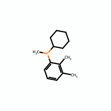 Cc1cccc(P(C)C2CCCCC2)c1C